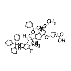 CCSc1cc(O[C@H]2CCN(C(=O)O)C2)c2cc(C3CC3)c(C(C)(C)Cc3c(C)c(F)cc4nn(C(c5ccccc5)(c5ccccc5)c5ccccc5)cc34)c(O[C@@H](C)c3ccccc3)c2n1